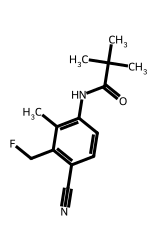 Cc1c(NC(=O)C(C)(C)C)ccc(C#N)c1CF